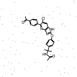 CC(=O)NC(C)(C)c1ccc(Oc2nc3nc(-c4ccc(C(C)=O)cc4)c(Cl)cc3[nH]2)cc1